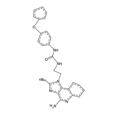 CCCCc1nc2c(N)nc3ccccc3c2n1CCNC(=O)Nc1ccc(Oc2ccccc2)cc1